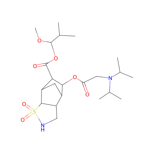 COC(OC(=O)C1C2CC(C3CNS(=O)(=O)C32)C1OC(=O)CN(C(C)C)C(C)C)C(C)C